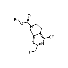 CC(C)(C)OC(=O)N1CCc2c(nc(CF)nc2C(F)(F)F)C1